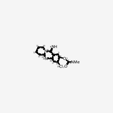 CNC(=O)Oc1cc2c(=N)n3ccccc3nc2cc1Cl